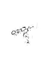 CC(C)c1nc(-c2ccc(F)c(NS(=O)(=O)c3c(F)cccc3F)c2)c(-c2ccnc(NCCC(F)(F)F)n2)s1